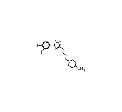 CC1CCN(CCCCc2nc(-c3ccc(F)c(F)c3)no2)CC1